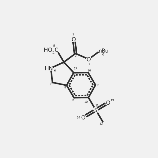 CCCCOC(=O)C1(C(=O)O)NCc2cc(S(C)(=O)=O)ccc21